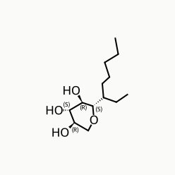 CCCCCC(CC)[C@@H]1OC[C@@H](O)[C@H](O)[C@H]1O